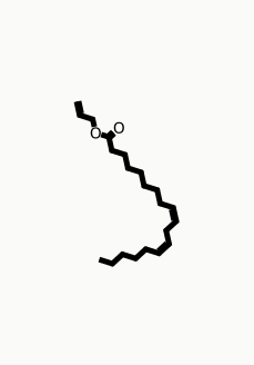 C=CCOC(=O)CCCCCCC/C=C\C/C=C\CCCCC